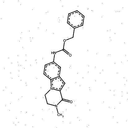 CN1CCn2c(cc3cc(NC(=O)OCc4ccccc4)ccc32)C1=O